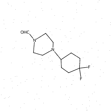 O=CN1CCN(C2CCC(F)(F)CC2)CC1